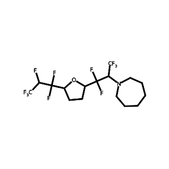 FC(C(F)(F)F)C(F)(F)C1CCC(C(F)(F)C(N2CCCCCC2)C(F)(F)F)O1